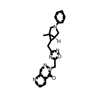 CC12CN(c3ccccc3)C[C@H]1C2Cc1noc(Cn2ncc3ncccc3c2=O)n1